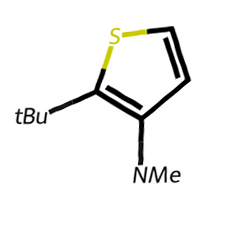 CNc1ccsc1C(C)(C)C